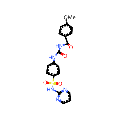 COc1ccc(C(=O)NC(=O)Nc2ccc(S(=O)(=O)Nc3ncccn3)cc2)cc1